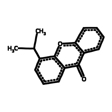 CC(C)c1cccc2c(=O)c3ccccc3oc12